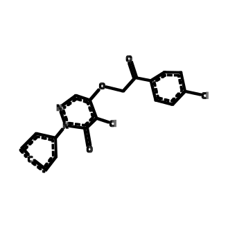 O=C(COc1cnn(-c2ccccc2)c(=O)c1Cl)c1ccc(Cl)cc1